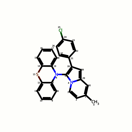 Cc1ccn2c(N3c4ccccc4Sc4ccccc43)c(-c3ccc(Cl)cc3)cc2c1